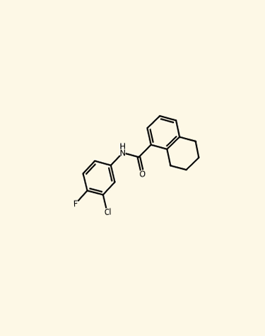 O=C(Nc1ccc(F)c(Cl)c1)c1cccc2c1CCCC2